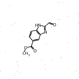 COC(=O)c1ccc2[nH]c(C=O)nc2c1